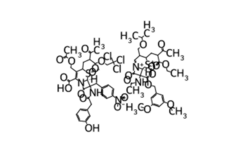 CC(=O)OCC1=C(C(=O)O)N2C(=O)C(Cc3ccc([N+](=O)[O-])cc3)(NC(=O)Cc3cccc(O)c3)[C@@H]2[S+]([O-])C1CC(C(C)=O)C(=O)OCC(Cl)(Cl)Cl.CCOC(=O)C(CC1C(COC(C)C)C=[N+]2C(=O)C(NC(C)=O)(C(=O)OCc3cc(OC)cc(OC)c3)[C@@H]2[S+]1[O-])C(C)=O